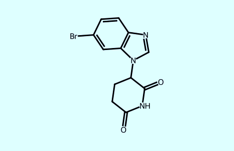 O=C1CCC(n2cnc3ccc(Br)cc32)C(=O)N1